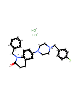 Cl.Cl.O=C1CCc2cc(N3CCN(Cc4ccc(F)cc4)CC3)ccc2N1Cc1ccccc1